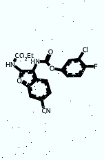 CCOC(=O)Nc1oc2cc(C#N)ccc2c1NC(=O)Oc1ccc(F)c(Cl)c1